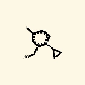 Cc1ccc(C2CC2)c([CH]O)c1